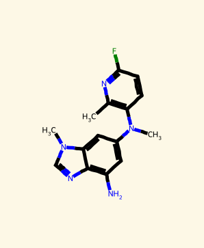 Cc1nc(F)ccc1N(C)c1cc(N)c2ncn(C)c2c1